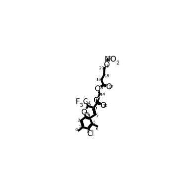 Cc1cc2c(c(C)c1Cl)C=C(C(=O)OCOC(=O)CCCO[N+](=O)[O-])C(C(F)(F)F)O2